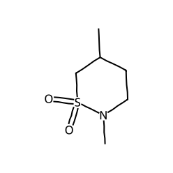 CC1CCN(C)S(=O)(=O)C1